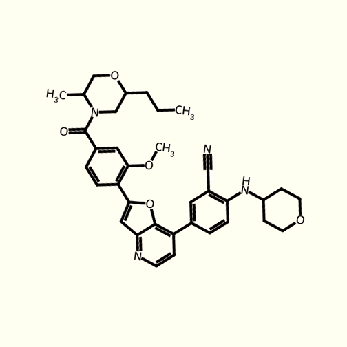 CCCC1CN(C(=O)c2ccc(-c3cc4nccc(-c5ccc(NC6CCOCC6)c(C#N)c5)c4o3)c(OC)c2)C(C)CO1